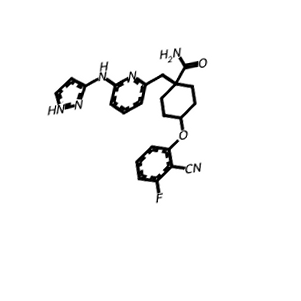 N#Cc1c(F)cccc1OC1CCC(Cc2cccc(Nc3cc[nH]n3)n2)(C(N)=O)CC1